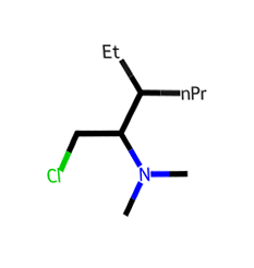 CCCC(CC)C(CCl)N(C)C